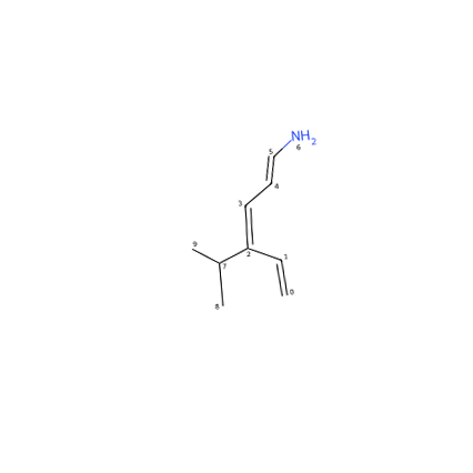 C=C/C(=C\C=C\N)C(C)C